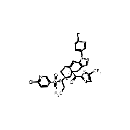 O=C(c1ncc(C(F)(F)F)s1)[C@]12Cc3cnn(-c4ccc(F)cc4)c3C=C1CC[C@H](N(CC(F)(F)F)S(=O)(=O)c1ccc(Cl)nc1)C2